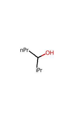 C[CH]CC(O)C(C)C